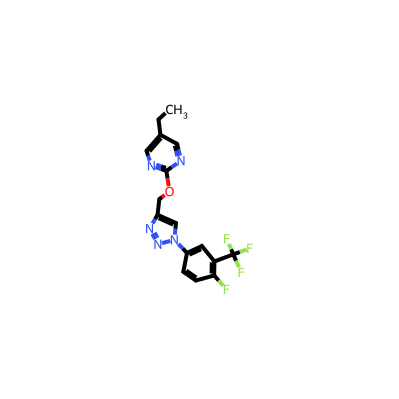 CCc1cnc(OCc2cn(-c3ccc(F)c(C(F)(F)F)c3)nn2)nc1